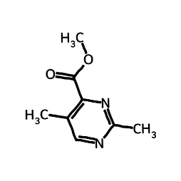 COC(=O)c1nc(C)ncc1C